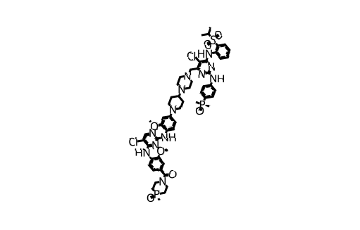 COc1cc(N2CCC(N3CCN(Cc4nc(Nc5ccc(P(C)(C)=O)cc5)nc(Nc5ccccc5S(=O)(=O)C(C)C)c4Cl)CC3)CC2)ccc1Nc1ncc(Cl)c(Nc2ccc(C(=O)N3CCP(C)(=O)CC3)cc2OC)n1